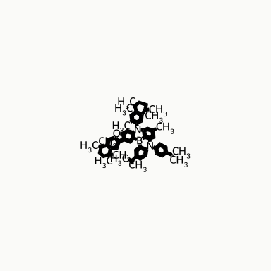 Cc1cc2c3c(c1)N(c1cc4c(cc1C)C(C)(C)CCC4(C)C)c1cc4oc5cc6c(cc5c4cc1B3c1cc(C(C)C)ccc1N2c1ccc(C(C)C)cc1)C(C)(C)CCC6(C)C